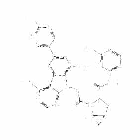 Cc1ncc(-c2cc(C)c3c(c2)c2c(N)ncnc2n3CC(=O)N2[C@@H]3CC3C[C@H]2C(=O)Nc2cccc(Br)n2)cn1